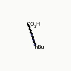 CCCC/C=C/C/C=C/C/C=C/CCCCCC(=O)O